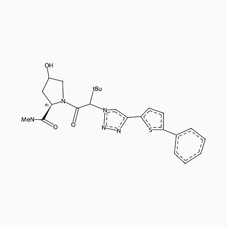 CNC(=O)[C@H]1CC(O)CN1C(=O)C(n1cc(-c2ccc(-c3ccccc3)s2)nn1)C(C)(C)C